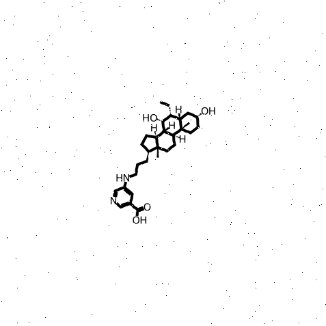 CC[C@H]1[C@@H](O)[C@@H]2[C@H](CC[C@]3(C)[C@@H](CCCNc4cncc(C(=O)O)c4)CC[C@@H]23)[C@@]2(C)CC[C@@H](O)C[C@@H]12